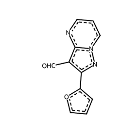 O=Cc1c(-c2ccco2)nn2cccnc12